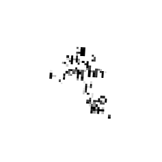 CCCc1nc2c(N)ncc(C)c2n1CCCCC[S+](C)[O-]